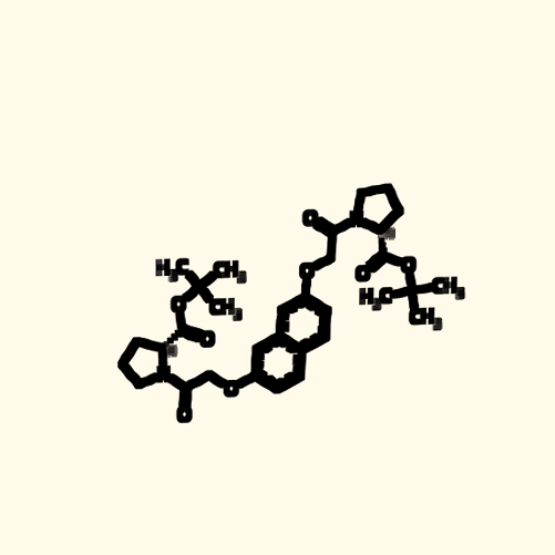 CC(C)(C)OC(=O)[C@H]1CCCN1C(=O)COc1ccc2ccc(OCC(=O)N3CCC[C@@H]3C(=O)OC(C)(C)C)cc2c1